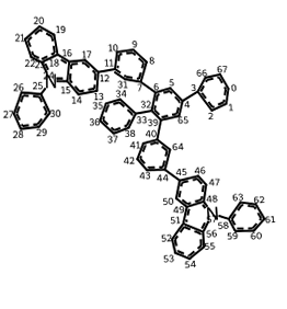 c1ccc(-c2cc(-c3cccc(-c4ccc5c(c4)c4ccccc4n5-c4ccccc4)c3)c(-c3ccccc3)c(-c3cccc(-c4ccc5c(c4)c4ccccc4n5-c4ccccc4)c3)c2)cc1